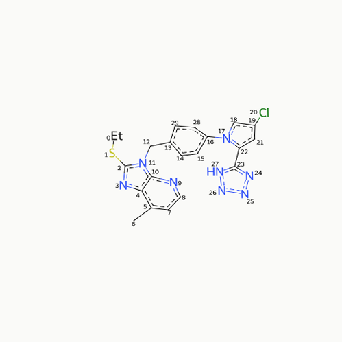 CCSc1nc2c(C)ccnc2n1Cc1ccc(-n2cc(Cl)cc2-c2nnn[nH]2)cc1